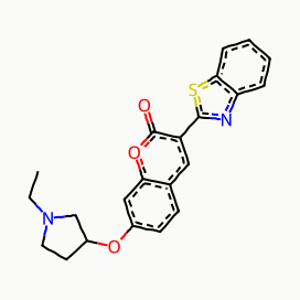 CCN1CCC(Oc2ccc3cc(-c4nc5ccccc5s4)c(=O)oc3c2)C1